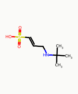 CC(C)(C)NCC=CS(=O)(=O)O